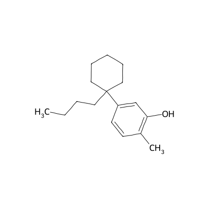 CCCCC1(c2ccc(C)c(O)c2)CCCCC1